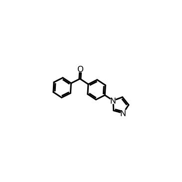 O=C(c1ccccc1)c1ccc(-n2ccnc2)cc1